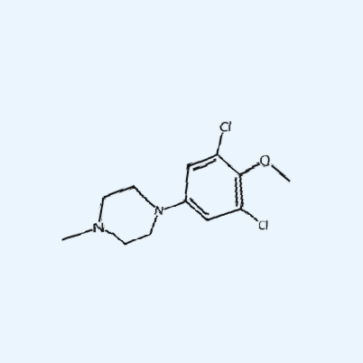 COc1c(Cl)cc(N2CCN(C)CC2)cc1Cl